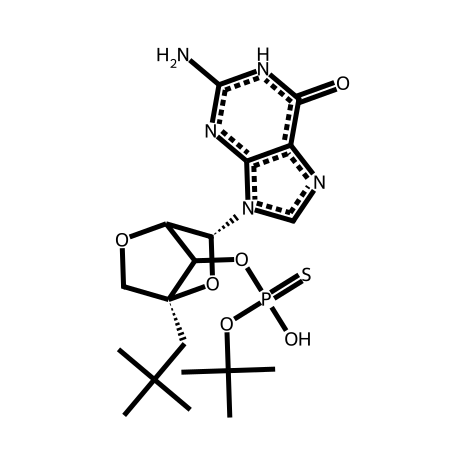 CC(C)(C)C[C@]12COC(C1OP(O)(=S)OC(C)(C)C)[C@H](n1cnc3c(=O)[nH]c(N)nc31)O2